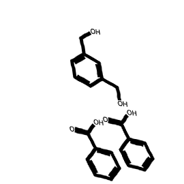 O=C(O)c1ccccc1.O=C(O)c1ccccc1.OCc1cccc(CO)c1